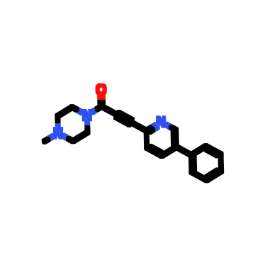 CN1CCN(C(=O)C#Cc2ccc(-c3ccccc3)cn2)CC1